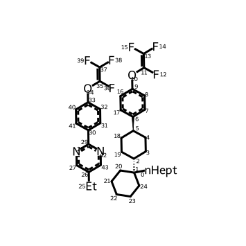 CCCCCCCC1([C@H]2CC[C@H](c3ccc(OC(F)=C(F)F)cc3)CC2)CCCCC1.CCc1cnc(-c2ccc(OC(F)=C(F)F)cc2)nc1